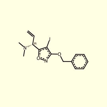 C=C[C@H](c1onc(OCc2ccccc2)c1I)N(C)C